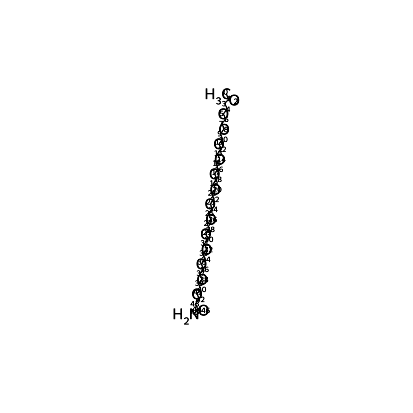 CC(=O)CCOCCOCCOCCOCCOCCOCCOCCOCCOCCOCCOCCOCCOCCC(N)=O